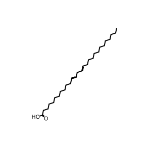 CCCCCCCCCCCCC=CCC=CCCCCCCCCCCC(=O)O